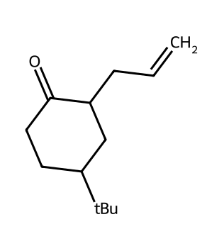 C=CCC1CC(C(C)(C)C)CCC1=O